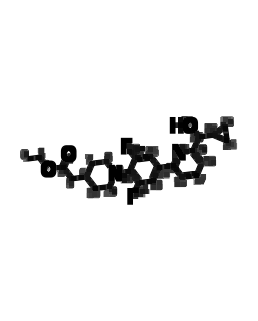 CCOC(=O)CC1CCN(c2c(F)cc(-c3cccc(C(O)C4CC4)n3)cc2F)CC1